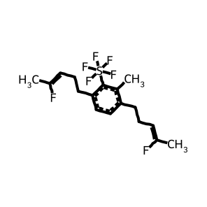 C/C(F)=C/CCc1ccc(CC/C=C(/C)F)c(S(F)(F)(F)(F)F)c1C